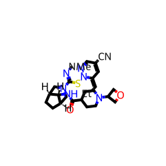 CC/C=C1/C=C(C#N)C=NN1S/C(=N\NC)N1C[C@H]2CC[C@@H](C1)[C@@H]2NC(=O)C1CCN(C2COC2)CC1